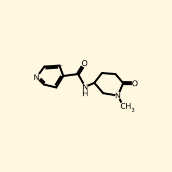 CN1CC(NC(=O)c2[c]cncc2)CCC1=O